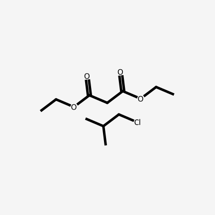 CC(C)CCl.CCOC(=O)CC(=O)OCC